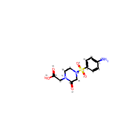 Nc1ccc(S(=O)(=O)N2CCN(CC(=O)O)C(=O)C2)cc1